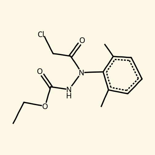 CCOC(=O)NN(C(=O)CCl)c1c(C)cccc1C